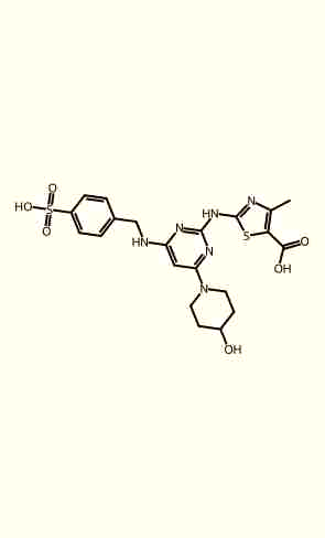 Cc1nc(Nc2nc(NCc3ccc(S(=O)(=O)O)cc3)cc(N3CCC(O)CC3)n2)sc1C(=O)O